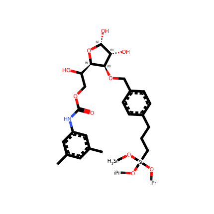 Cc1cc(C)cc(NC(=O)OCC(O)[C@H]2O[C@H](O)[C@H](O)[C@H]2OCc2ccc(CCC[Si](O[SiH3])(OC(C)C)OC(C)C)cc2)c1